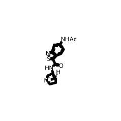 CC(=O)Nc1ccc2c(C(=O)N[C@@H]3CN4CCC3CC4)snc2c1